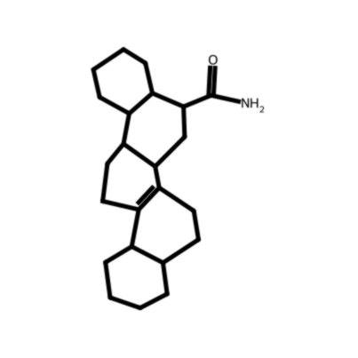 NC(=O)C1CC2C3=C(CCC2C2CCCCC12)C1CCCCC1CC3